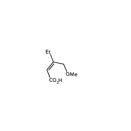 CCC(=CC(=O)O)COC